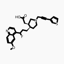 COc1ccc2nccc(C(F)CC[C@@H]3CCN(CC#Cc4ccsc4)C[C@@H]3CC(=O)O)c2c1